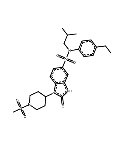 CCc1ccc(N(CC(C)C)S(=O)(=O)c2ccc3c(c2)[nH]c(=O)n3C2CCN(S(C)(=O)=O)CC2)cc1